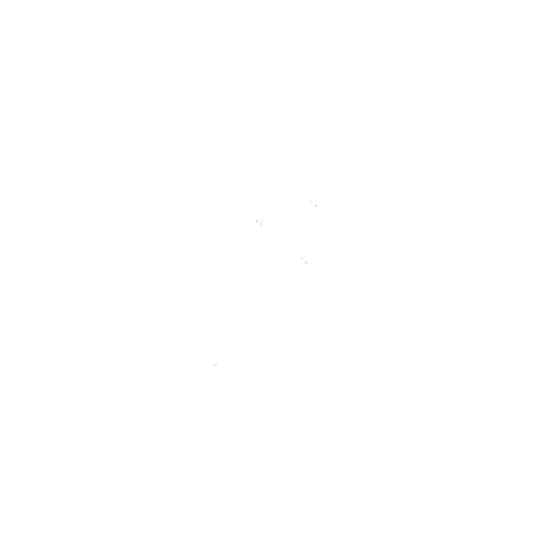 O=c1c2ccccc2nc2nc(-c3ccccc3)c3cc(Br)ccc3n12